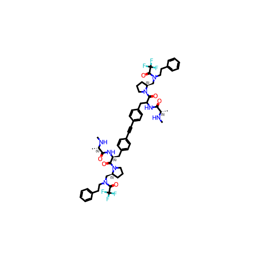 CN[C@@H](C)C(=O)NC(Cc1ccc(C#Cc2ccc(C[C@H](NC(=O)[C@H](C)NC)C(=O)N3CCC[C@H]3CN(CCc3ccccc3)C(=O)C(F)(F)F)cc2)cc1)C(=O)N1CCC[C@H]1CN(CCc1ccccc1)C(=O)C(F)(F)F